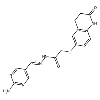 Nc1ncc(/C=N/NC(=O)COc2ccc3c(c2)CCC(=O)N3)cn1